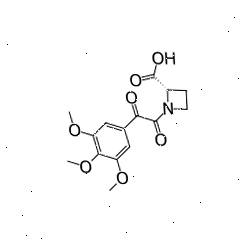 COc1cc(C(=O)C(=O)N2CC[C@H]2C(=O)O)cc(OC)c1OC